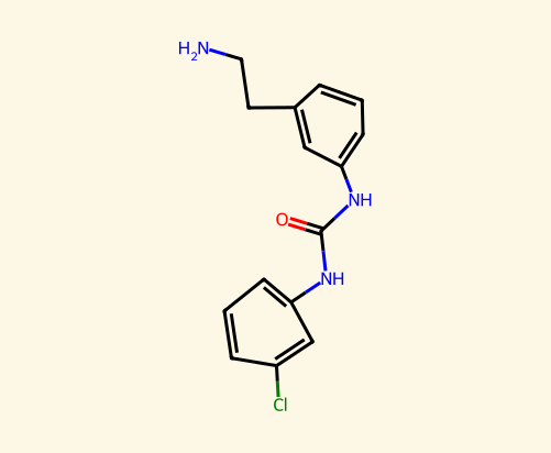 NCCc1cccc(NC(=O)Nc2cccc(Cl)c2)c1